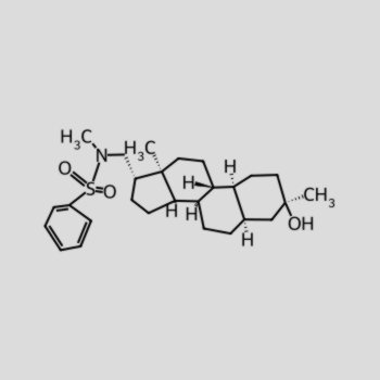 CN(C[C@H]1CC[C@H]2[C@@H]3CC[C@@H]4C[C@](C)(O)CC[C@@H]4[C@H]3CC[C@]12C)S(=O)(=O)c1ccccc1